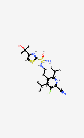 CC(C)c1nc(C#N)c(F)c(C(C)C)c1CCN=S(N)(=O)c1nc(C(C)(C)O)cs1